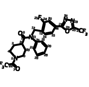 O=C(C1CCN(C(=O)C(F)(F)F)CC1)N(Cc1ccc(-c2nnc(C(F)(F)F)o2)cc1F)c1ccccc1